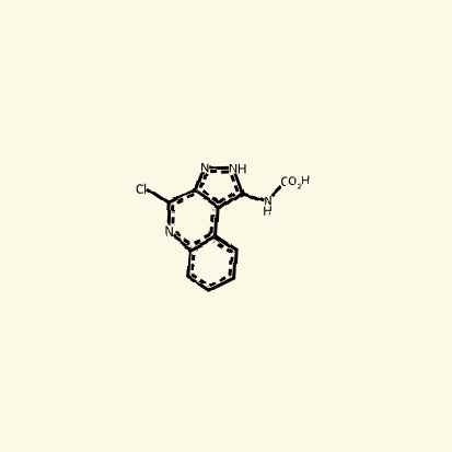 O=C(O)Nc1[nH]nc2c(Cl)nc3ccccc3c12